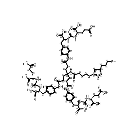 O=C(O)CCC(NC(=O)NC(Cc1ccc(NC(=O)CCC(CCC(=O)Nc2ccc(CC(NC(=O)N[C@@H](CCC(=O)O)C(=O)O)C(=O)O)cc2)(CCC(=O)Nc2ccc(C[C@H](NC(=O)N[C@@H](CCC(=O)O)C(=O)O)C(=O)O)cc2)NC(=O)CCCCn2cc(CCCF)nn2)cc1)C(=O)O)C(=O)O